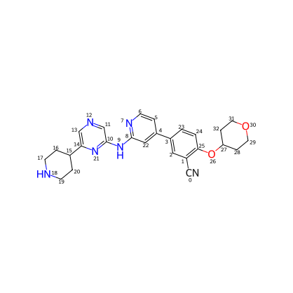 N#Cc1cc(-c2ccnc(Nc3cncc(C4CCNCC4)n3)c2)ccc1OC1CCOCC1